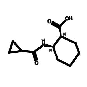 O=C(N[C@@H]1CCCC[C@@H]1C(=O)O)C1CC1